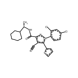 C[C@@H](NC(=O)c1nn(-c2ccc(Cl)cc2Cl)c(-c2cccs2)c1C#N)C1CCCCC1